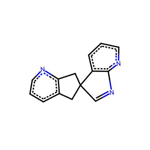 C1=Nc2ncccc2C12Cc1cccnc1C2